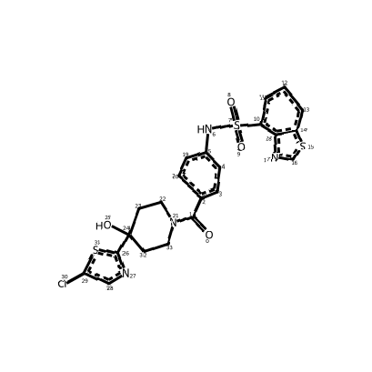 O=C(c1ccc(NS(=O)(=O)c2cccc3scnc23)cc1)N1CCC(O)(c2ncc(Cl)s2)CC1